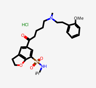 COc1ccccc1CCN(C)CCCCC(=O)c1cc2c(c(S(=O)(=O)NC(C)C)c1)OCC2.Cl